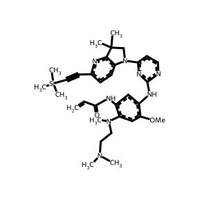 C=CC(=O)Nc1cc(Nc2nccc(N3CC(C)(C)c4nc(C#C[Si](C)(C)C)ccc43)n2)c(OC)cc1N(C)CCN(C)C